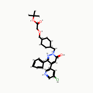 CC(C)(C)OC(=O)COCC1CCC(Cn2nc(-c3ccccc3)c(-c3cncc(Cl)c3)cc2=O)CC1